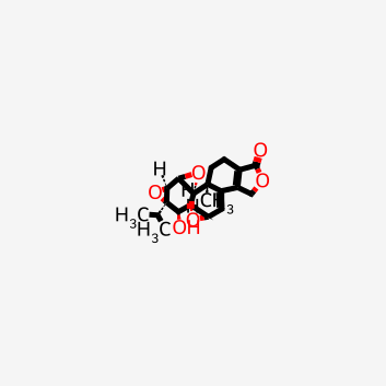 CC(C)[C@]12O[C@H]1[C@@H]1O[C@]13[C@]1(O[C@H]1C=C1C4=C(CC[C@@]13C)C(=O)OC4)[C@H]2O